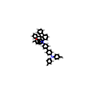 Cc1ccc(N(c2ccc(C)cc2)c2ccc(-c3ccc(N(c4ccc(C)cc4)c4cccc5c4C4(c6ccccc6-c6ccccc64)c4ccccc4-5)cc3)cc2)cc1